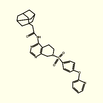 O=C(CC12CC3CC(CC(C3)C1)C2)Nc1ncnc2c1CCN(S(=O)(=O)c1ccc(Oc3ccccn3)cc1)C2